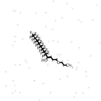 CCCOCCC=C(O)C(F)(F)C(F)(F)C(F)(F)C(F)(F)C(F)(F)C(F)(F)C(F)(F)C(F)(F)F